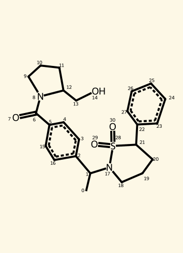 CC(c1ccc(C(=O)N2CCCC2CO)cc1)N1CCCC(c2ccccc2)S1(=O)=O